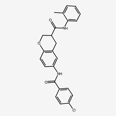 Cc1ccccc1NC(=O)C1COc2ccc(NC(=O)c3ccc(Cl)cc3)cc2C1